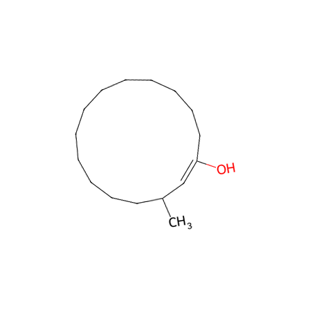 CC1C=C(O)CCCCCCCCCCCC1